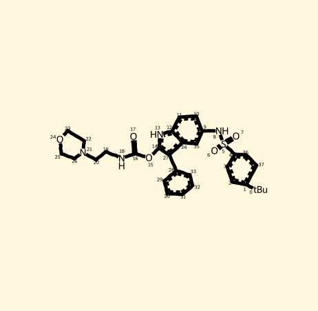 CC(C)(C)c1ccc(S(=O)(=O)Nc2ccc3[nH]c(OC(=O)NCCN4CCOCC4)c(-c4ccccc4)c3c2)cc1